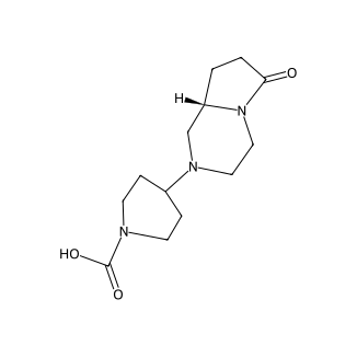 O=C(O)N1CCC(N2CCN3C(=O)CC[C@H]3C2)CC1